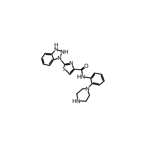 O=C(Nc1ccccc1N1CCNCC1)c1csc(N2NNc3ccccc32)n1